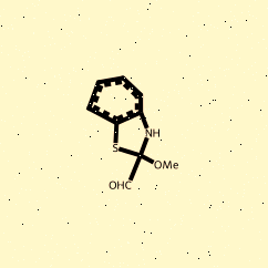 COC1(C=O)Nc2ccccc2S1